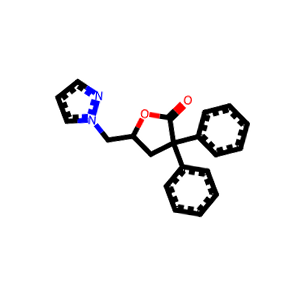 O=C1OC(Cn2cccn2)CC1(c1ccccc1)c1ccccc1